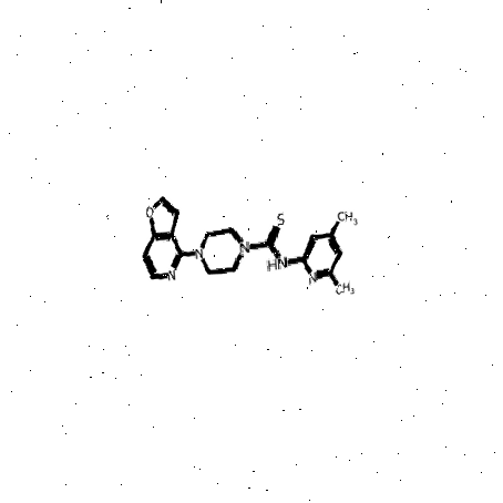 Cc1cc(C)nc(NC(=S)N2CCN(c3nccc4occc34)CC2)c1